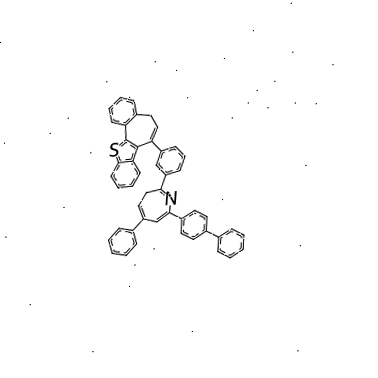 C1=C(c2ccccc2)C=C(c2ccc(-c3ccccc3)cc2)N=C(c2cccc(C3=CCc4ccccc4-c4sc5ccccc5c43)c2)C1